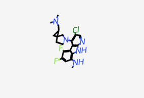 CNc1cc(F)c(F)c2c1[nH]c1ncc(Cl)c(N3CCC4(CC4CN(C)C)C3)c12